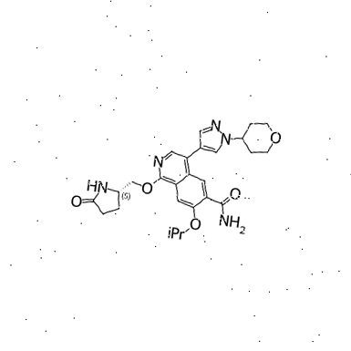 CC(C)Oc1cc2c(OC[C@@H]3CCC(=O)N3)ncc(-c3cnn(C4CCOCC4)c3)c2cc1C(N)=O